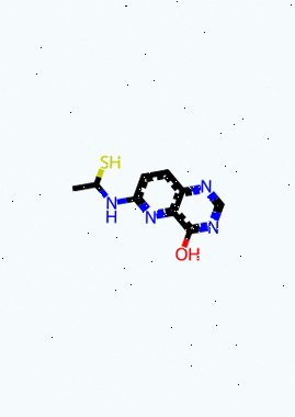 CC(S)Nc1ccc2ncnc(O)c2n1